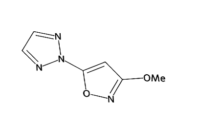 COc1cc(-n2nccn2)on1